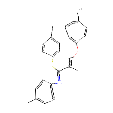 COc1ccc(O/C=C(C)/C(=N/c2ccc(C)cc2)Sc2ccc(C)cc2)cc1